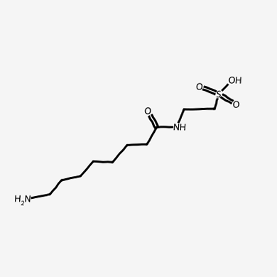 NCCCCCCCC(=O)NCCS(=O)(=O)O